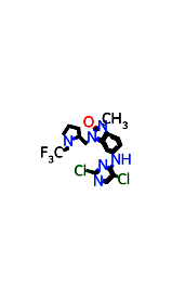 Cn1c(=O)n(CC2CCCN2CC(F)(F)F)c2cc(Nc3nc(Cl)ncc3Cl)ccc21